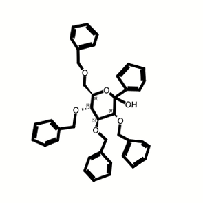 OC1(c2ccccc2)O[C@H](COCc2ccccc2)[C@@H](OCc2ccccc2)[C@H](OCc2ccccc2)[C@H]1OCc1ccccc1